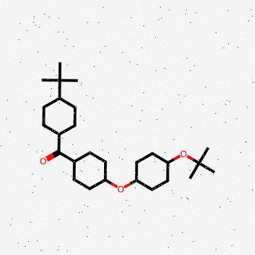 CC(C)(C)OC1CCC(OC2CCC(C(=O)C3CCC(C(C)(C)C)CC3)CC2)CC1